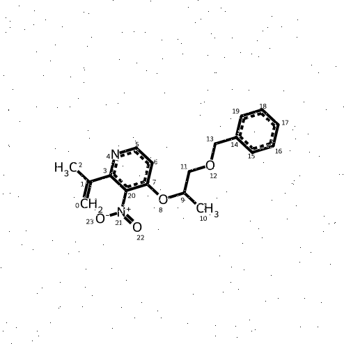 C=C(C)c1nccc(OC(C)COCc2ccccc2)c1[N+](=O)[O-]